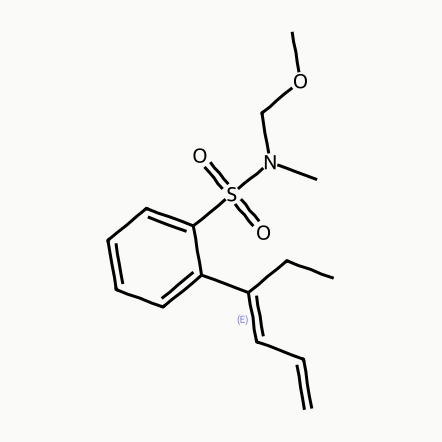 C=C/C=C(\CC)c1ccccc1S(=O)(=O)N(C)COC